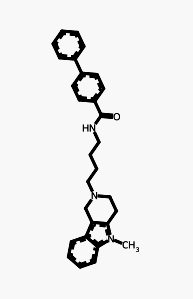 Cn1c2c(c3ccccc31)CN(CCCCNC(=O)c1ccc(-c3ccccc3)cc1)CC2